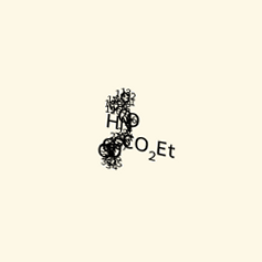 CCOC(=O)CC(CNC(=O)OCC1c2ccccc2-c2ccccc21)Cc1ccc(OS(=O)(=O)c2ccccc2)cc1